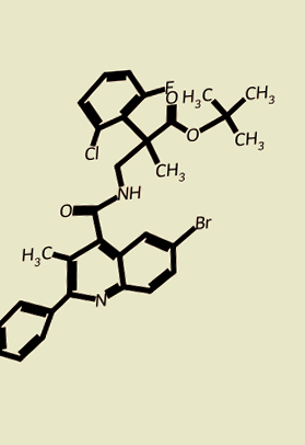 Cc1c(-c2ccccc2)nc2ccc(Br)cc2c1C(=O)NCC(C)(C(=O)OC(C)(C)C)c1c(F)cccc1Cl